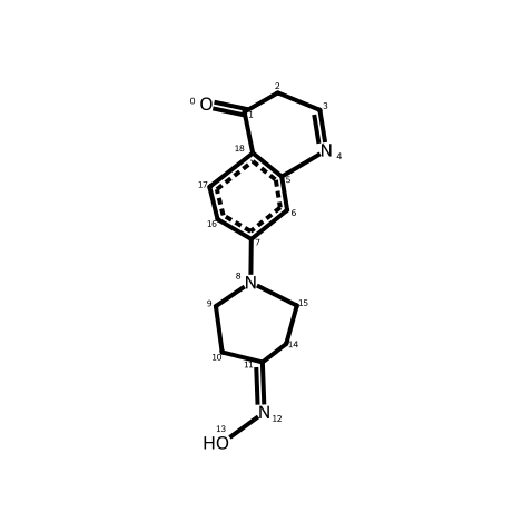 O=C1CC=Nc2cc(N3CCC(=NO)CC3)ccc21